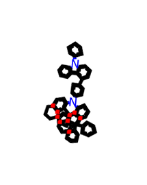 c1ccc(-n2c3ccccc3c3c(-c4ccc(N(c5ccccc5-c5cccc6cccc(C7CCCCC7)c56)c5cccc6c5-c5ccccc5C6(c5ccccc5)c5ccccc5)cc4)cccc32)cc1